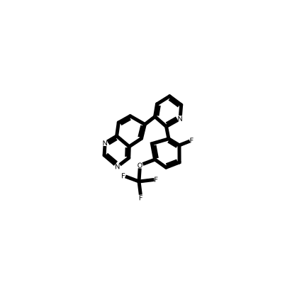 Fc1ccc(OC(F)(F)F)cc1-c1ncccc1-c1ccc2ncncc2c1